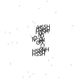 Cc1ccc(-c2c(=O)n(C3=C/C(=C/NC(S)(S)S)C(=N)C=C3)nc3ccc(NC(S)(S)C(S)(S)S)nc23)cn1